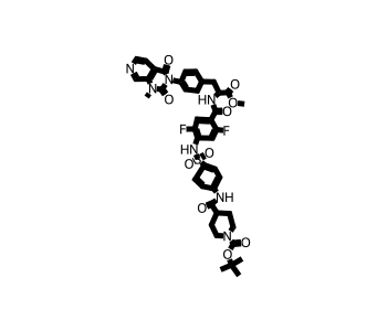 COC(=O)C(CC1C=CC(n2c(=O)c3ccncc3n(C)c2=O)=CC1)NC(=O)c1cc(F)c(NS(=O)(=O)c2ccc(NC(=O)C3CCN(C(=O)OC(C)(C)C)CC3)cc2)cc1F